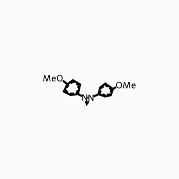 COc1ccc(N2CN2c2ccc(OC)cc2)cc1